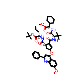 CCC[C@H](NC(=O)[C@H]1C[C@H](Oc2cc(-c3ccccc3)nc3cc(OC)ccc23)C=C1C(=O)N[C@H](C(=O)N[C@H](C(=O)OC)C1CCCCC1)C(C)(C)C)C(=O)OC(C)(C)C